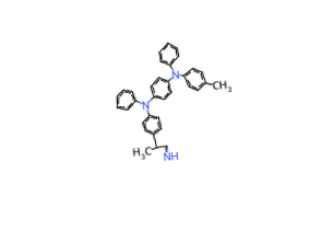 Cc1ccc(N(c2ccccc2)c2ccc(N(c3ccccc3)c3ccc(C(C)C=N)cc3)cc2)cc1